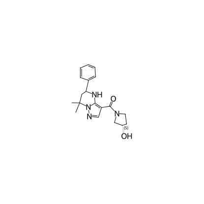 CC1(C)CC(c2ccccc2)Nc2c(C(=O)N3CC[C@H](O)C3)cnn21